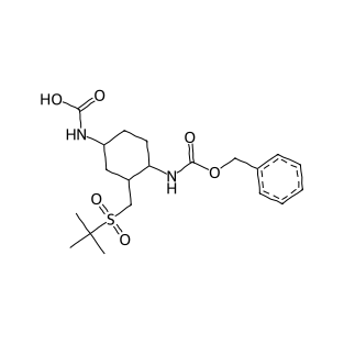 CC(C)(C)S(=O)(=O)CC1CC(NC(=O)O)CCC1NC(=O)OCc1ccccc1